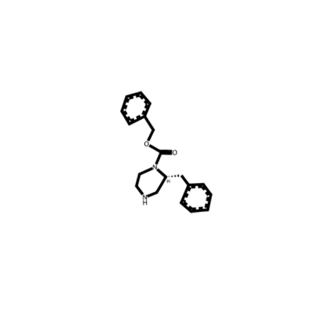 O=C(OCc1ccccc1)N1CCNC[C@H]1Cc1ccccc1